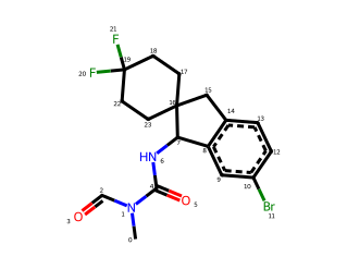 CN(C=O)C(=O)NC1c2cc(Br)ccc2CC12CCC(F)(F)CC2